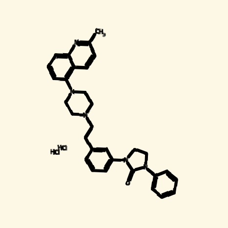 Cc1ccc2c(N3CCN(CCc4cccc(N5CCN(c6ccccc6)C5=O)c4)CC3)cccc2n1.Cl.Cl